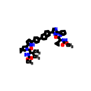 COC(=O)NC(C(=O)N1CC2(CC2)CC1c1ccc(-c2ccc(-c3ccc4cc(-c5cnc(C6C7CCC(C7)N6C(=O)C(NC(=O)OC)C6CC6)[nH]5)ccc4c3)cc2)[nH]1)C(C)C